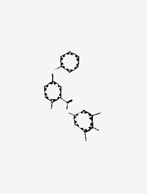 O=C(Nc1cc(Cl)c(Cl)c(Cl)c1)c1cc(Oc2ccccc2)ccc1[N+](=O)[O-]